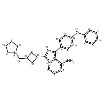 Nc1nccn2c1c(-c1ccc(Oc3ccccc3)cc1)nc2[C@H]1C[C@H](CN2CCCC2)C1